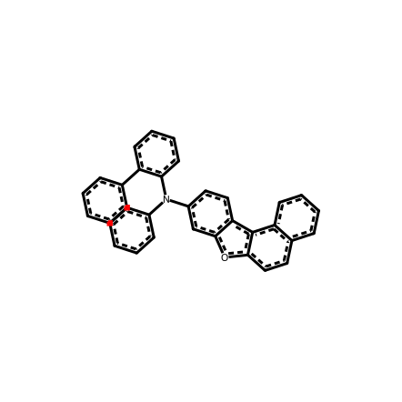 c1ccc(-c2ccccc2N(c2ccccc2)c2ccc3c(c2)oc2ccc4ccccc4c23)cc1